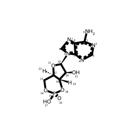 Nc1ncnc2c1ncn2[C@@H]1O[C@@H]2COP(=O)(O)O[C@H]2[C@@H]1O